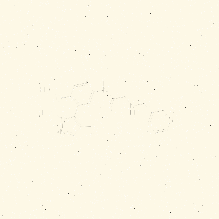 COc1ccc(NC(=O)CNCc2cccnc2)cc1-c1c(Cl)cnn1C